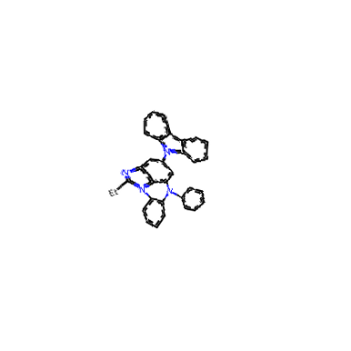 CCc1nc2cc(-n3c4ccccc4c4ccccc43)cc3c2n1-c1ccccc1N3c1ccccc1